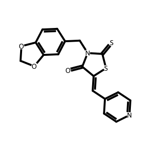 O=C1/C(=C/c2ccncc2)SC(=S)N1Cc1ccc2c(c1)OCO2